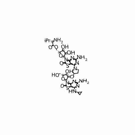 CC(C)[C@H](N)C(=O)OC[C@H]1O[C@@H](n2c(=O)sc3c(N4CCC(O[C@@H]5[C@H](O)[C@@H](CO)O[C@H]5n5c(=O)sc6c(NC7CC7)nc(N)nc65)C4)nc(N)nc32)[C@H](O)[C@@H]1O